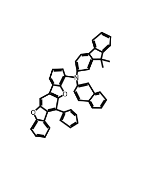 CC1(C)c2ccccc2-c2ccc(N(c3ccc4ccccc4c3)c3cccc4c3oc3c(-c5ccccc5)c5c(cc34)oc3ccccc35)cc21